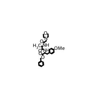 COc1ccc(CC(NC(=O)C(C)NC(=O)CN2CCOCC2)C(=O)OCc2ccccc2)cc1